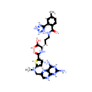 Cc1ccc(C(=O)NCCC[C@H](NC(=O)c2ccc(N(C)Cc3cnc4nc(N)nc(N)c4n3)s2)C(=O)O)c(-c2nn[nH]n2)c1